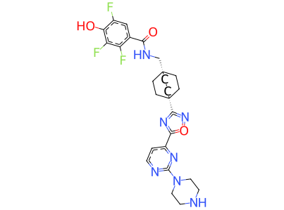 O=C(NC[C@]12CC[C@](c3noc(-c4ccnc(N5CCNCC5)n4)n3)(CC1)CC2)c1cc(F)c(O)c(F)c1F